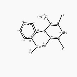 CCOC(=O)C1=C(C)NC(C)=C(C(C)=O)C1c1ccccc1OCC